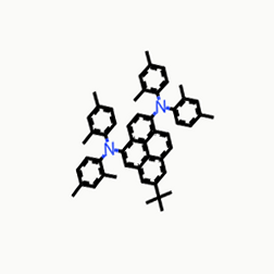 Cc1ccc(N(c2ccc(C)cc2C)c2ccc3c(N(c4ccc(C)cc4C)c4ccc(C)cc4C)cc4cc(C(C)(C)C)cc5ccc2c3c54)c(C)c1